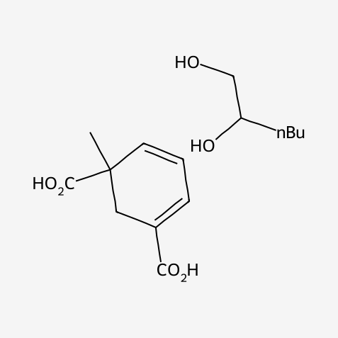 CC1(C(=O)O)C=CC=C(C(=O)O)C1.CCCCC(O)CO